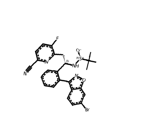 CC(C)(C)[S@+]([O-])N[C@@H](Cc1nc(C#N)ccc1F)c1ccccc1-c1noc2cc(Br)ccc12